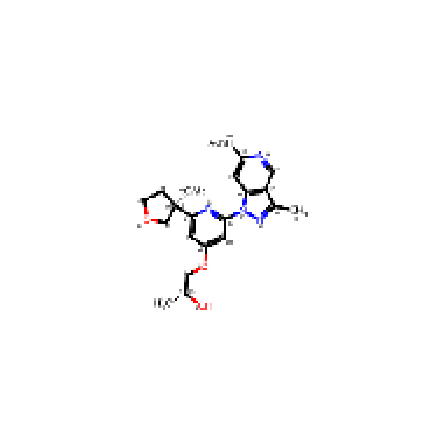 CO[C@@]1(c2cc(OC[C@@H](C)O)cc(-n3nc(C)c4cnc(NC(C)=O)cc43)n2)CCOC1